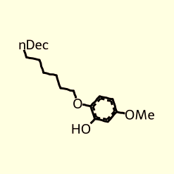 CCCCCCCCCCCCCCCCOc1ccc(OC)cc1O